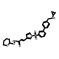 O=C(C=Cc1ccn(S(=O)(=O)c2cccc(-c3ccc(CNC4CC4)cc3)c2)c1)NOC1CCCCO1